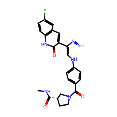 CNC(=O)[C@H]1CCN(C(=O)c2ccc(N/C=C(\N=N)c3cc4cc(F)ccc4[nH]c3=O)cc2)C1